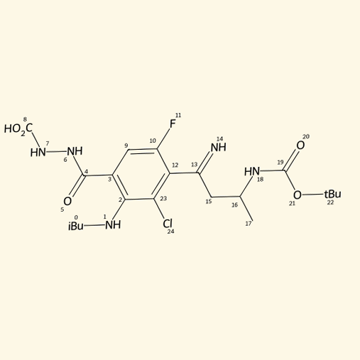 CCC(C)Nc1c(C(=O)NNC(=O)O)cc(F)c(C(=N)CC(C)NC(=O)OC(C)(C)C)c1Cl